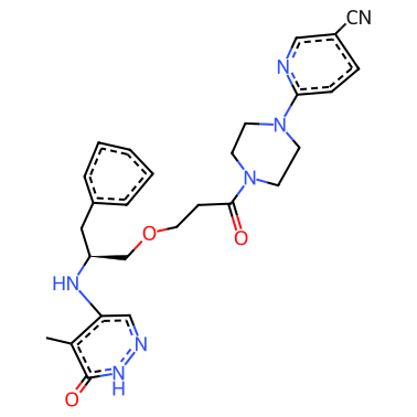 Cc1c(N[C@H](COCCC(=O)N2CCN(c3ccc(C#N)cn3)CC2)Cc2ccccc2)cn[nH]c1=O